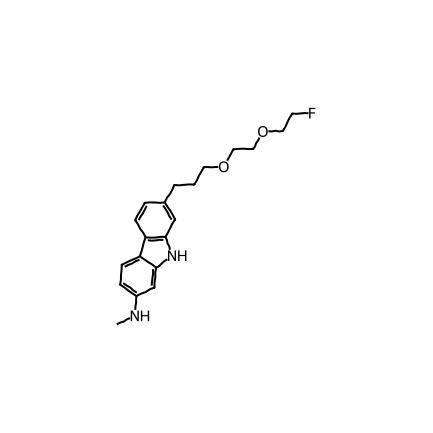 CNc1ccc2c(c1)[nH]c1cc(CCCOCCOCCF)ccc12